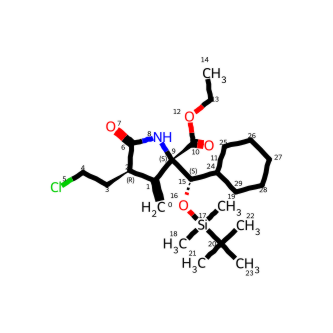 C=C1[C@@H](CCCl)C(=O)N[C@]1(C(=O)OCC)[C@@H](O[Si](C)(C)C(C)(C)C)C1CCCCC1